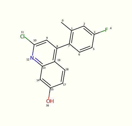 Cc1cc(F)ccc1-c1cc(Cl)nc2cc(O)ccc12